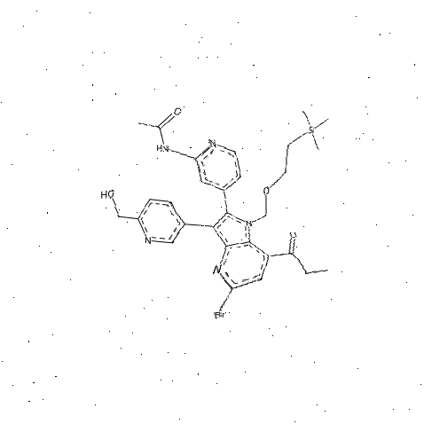 CCC(=O)c1cc(Br)nc2c(-c3ccc(CO)nc3)c(-c3ccnc(NC(C)=O)c3)n(COCC[Si](C)(C)C)c12